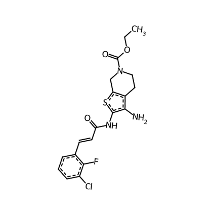 CCOC(=O)N1CCc2c(sc(NC(=O)/C=C/c3cccc(Cl)c3F)c2N)C1